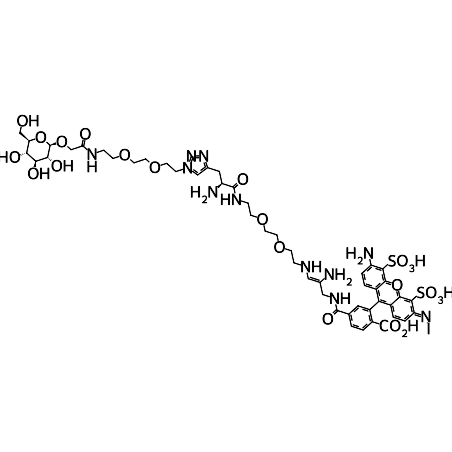 N/C(=C\NCCOCCOCCNC(=O)[C@@H](N)Cc1cn(CCOCCOCCNC(=O)CO[C@@H]2O[C@H](CO)[C@@H](O)[C@H](O)[C@H]2O)nn1)CNC(=O)c1ccc(C(=O)O)c(-c2c3cc/c(=N\I)c(S(=O)(=O)O)c-3oc3c(S(=O)(=O)O)c(N)ccc23)c1